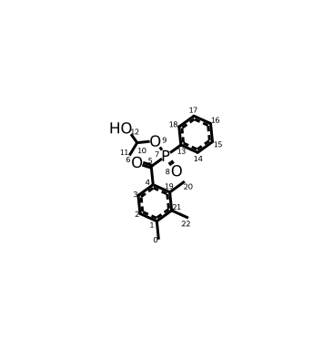 Cc1ccc(C(=O)P(=O)(OC(C)O)c2ccccc2)c(C)c1C